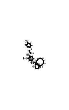 CCC1CCNC(C(=O)NC23CCC(NC(=O)COc4ccc(Cl)c(F)c4)(CC2)C(O)C3)C12CCCCCCCCC2